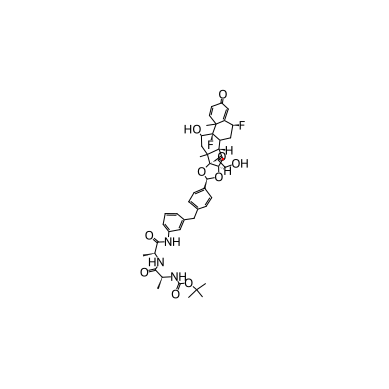 C[C@H](NC(=O)OC(C)(C)C)C(=O)N[C@@H](C)C(=O)Nc1cccc(Cc2ccc([C@@H]3O[C@@H]4C[C@H]5C6C[C@H](F)C7=CC(=O)C=CC7(C)[C@@]6(F)C(O)CC5(C)[C@]4(C(=O)CO)O3)cc2)c1